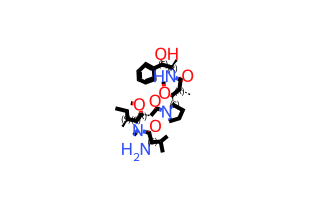 CC[C@H](C)[C@@H]([C@@H](CC(=O)N1CCC[C@H]1C(OC)[C@@H](C)C(=O)N[C@H](C)[C@@H](O)c1ccccc1)OC)N(C)C(=O)[C@@H](N)C(C)C